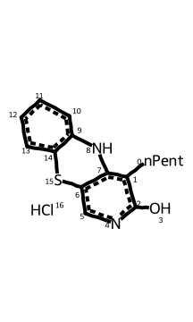 CCCCCc1c(O)ncc2c1Nc1ccccc1S2.Cl